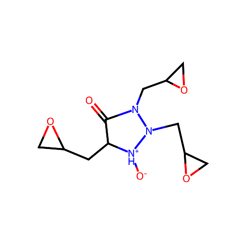 O=C1C(CC2CO2)[NH+]([O-])N(CC2CO2)N1CC1CO1